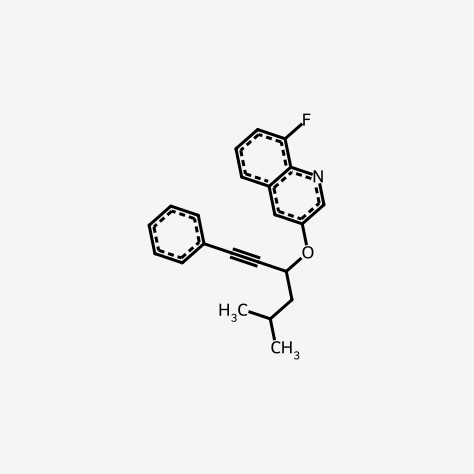 CC(C)CC(C#Cc1ccccc1)Oc1cnc2c(F)cccc2c1